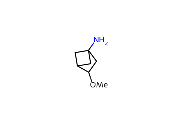 COC1CC2(N)CC1C2